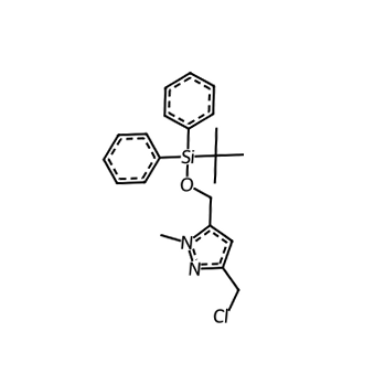 Cn1nc(CCl)cc1CO[Si](c1ccccc1)(c1ccccc1)C(C)(C)C